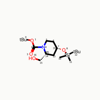 CC(C)(C)OC(=O)N1CC[C@H](O[Si](C)(C)C(C)(C)C)C[C@@H]1CO